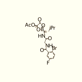 CC(=O)O[C@@H]1OB([C@H](CC(C)C)NC(=O)CNC(=O)c2cc(F)ccc2Br)OC1=O